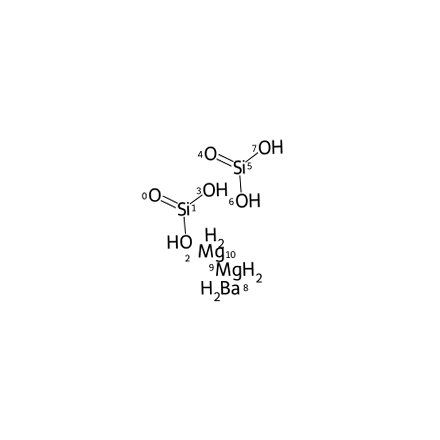 O=[Si](O)O.O=[Si](O)O.[BaH2].[MgH2].[MgH2]